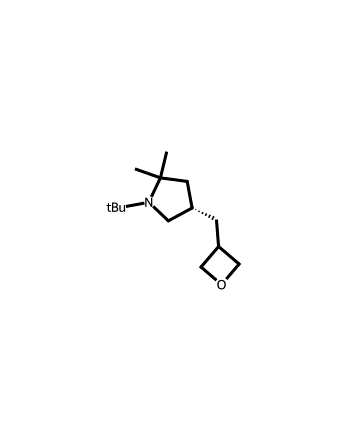 CC(C)(C)N1C[C@@H](CC2COC2)CC1(C)C